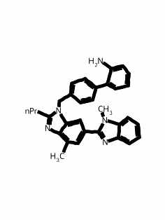 CCCc1nc2c(C)cc(-c3nc4ccccc4n3C)cc2n1Cc1ccc(-c2ccccc2N)cc1